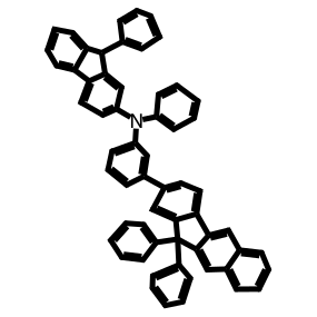 c1ccc(C2c3ccccc3-c3ccc(N(c4ccccc4)c4cccc(-c5ccc6c(c5)C(c5ccccc5)(c5ccccc5)c5cc7ccccc7cc5-6)c4)cc32)cc1